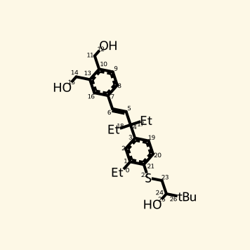 CCc1cc(C(C=Cc2ccc(CO)c(CO)c2)(CC)CC)ccc1SCC(O)C(C)(C)C